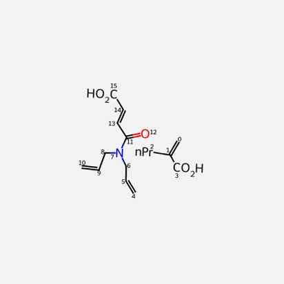 C=C(CCC)C(=O)O.C=CCN(CC=C)C(=O)C=CC(=O)O